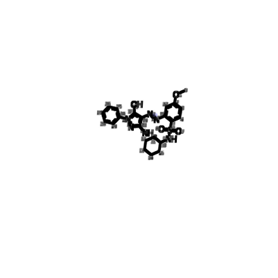 COc1ccc(S(=O)(=O)NC2CCCCC2)c(/N=N/c2c(N)nn(-c3ccccc3)c2O)c1